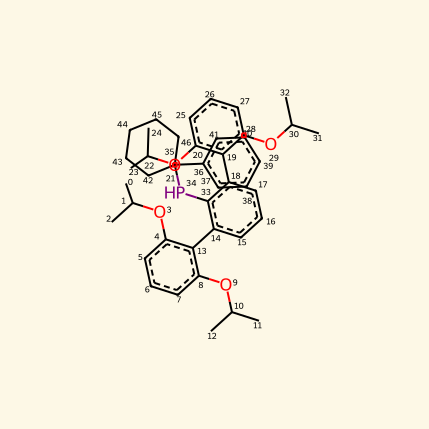 CC(C)Oc1cccc(OC(C)C)c1-c1cccc(-c2c(OC(C)C)cccc2OC(C)C)c1PC1(c2ccccc2)CCCCC1